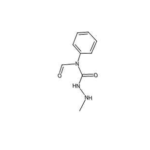 CNNC(=O)N(C=O)c1ccccc1